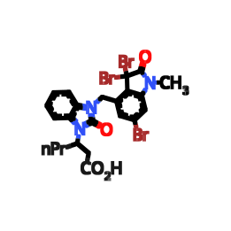 CCCC(CC(=O)O)n1c(=O)n(Cc2cc(Br)cc3c2C(Br)(Br)C(=O)N3C)c2ccccc21